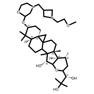 COCCN1CC(CN2CCOC(O[C@H]3CC[C@]45CC46CC[C@]4(C)[C@@H]7C(OC([C@H](O)C(C)(C)O)C[C@H]7C)[C@H](O)C4(C)C6CC[C@H]5C3(C)C)C2)C1